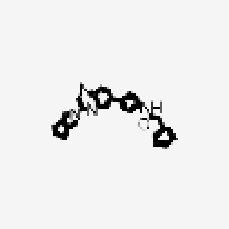 O=C(Cc1ccccc1)Nc1ccc(-c2ccc3ncc(N4CC5CCCC5C4)nc3c2)cc1